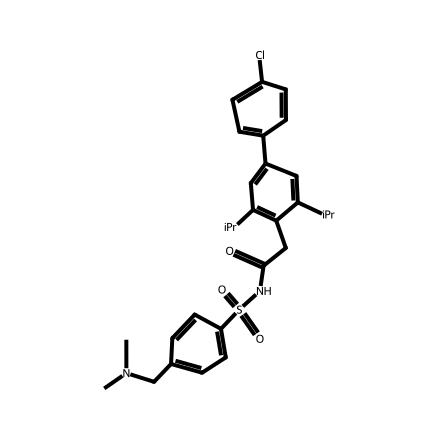 CC(C)c1cc(-c2ccc(Cl)cc2)cc(C(C)C)c1CC(=O)NS(=O)(=O)c1ccc(CN(C)C)cc1